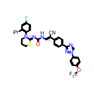 CC(C)c1cc(F)ccc1N1CCCS/C1=N\C(=O)N/C=C(\C#N)c1ccc(-c2ncn(-c3ccc(OC(F)(F)F)cc3)n2)cc1